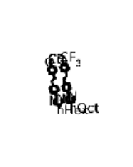 CCCCCCCCc1cnc(-c2ccc(CCc3ccc(OC(F)(F)F)cc3)cc2)nc1.CCCCCCc1cnc(-c2ccc(CCc3ccc(OC(F)(F)F)cc3)cc2)nc1